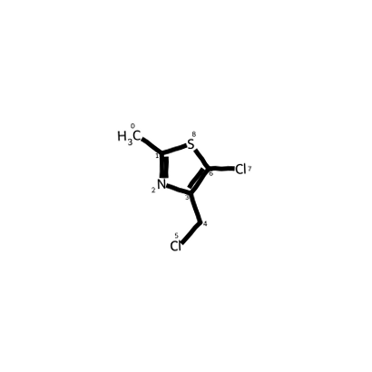 Cc1nc(CCl)c(Cl)s1